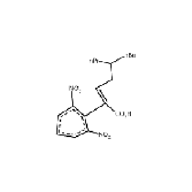 CCCCC(CC=C(C(=O)O)c1c([N+](=O)[O-])cccc1[N+](=O)[O-])CCC